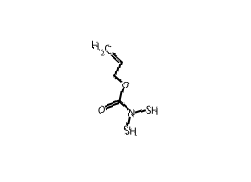 C=CCOC(=O)N(S)S